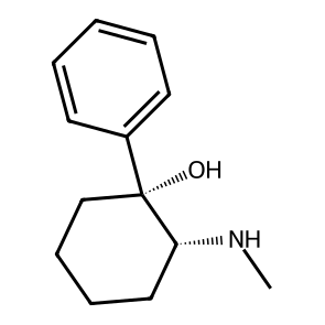 CN[C@@H]1CCCC[C@@]1(O)c1ccccc1